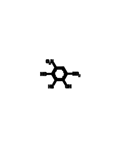 O=[N+]([O-])c1cc([N+](=O)[O-])c(O)c(S)c1O